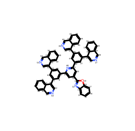 c1ccc2c(-c3cc(-c4cc(-c5nc6ccccc6o5)cc(-c5cc(-c6cncc7ccccc67)cc(-c6cncc7ccccc67)c5)n4)cc(-c4cncc5ccccc45)c3)cncc2c1